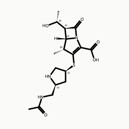 CC(=O)NC[C@@H]1C[C@H](SC2=C(C(=O)O)N3C(=O)[C@H]([C@@H](C)O)[C@H]3[C@H]2C)CN1